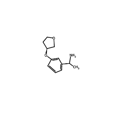 CC(N)c1cccc(O[C@H]2CCOC2)c1